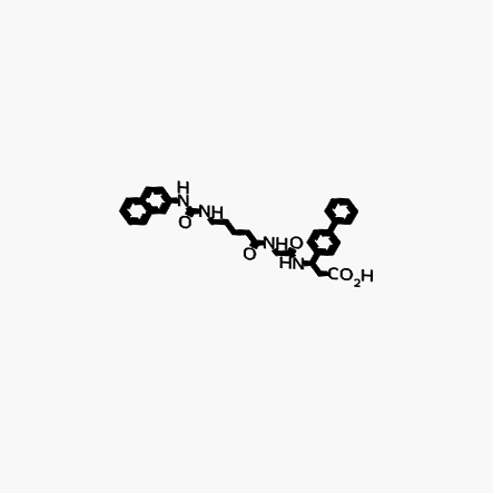 O=C(O)CC(NC(=O)CNC(=O)CCCCNC(=O)Nc1ccc2ccccc2c1)c1ccc(-c2ccccc2)cc1